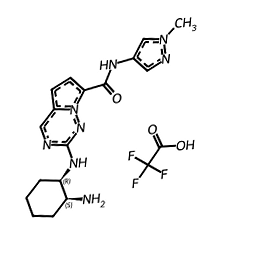 Cn1cc(NC(=O)c2ccc3cnc(N[C@@H]4CCCC[C@@H]4N)nn23)cn1.O=C(O)C(F)(F)F